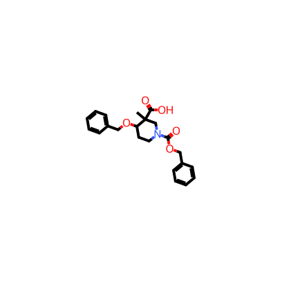 CC1(C(=O)O)CN(C(=O)OCc2ccccc2)CCC1OCc1ccccc1